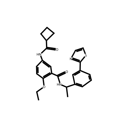 CCOc1ccc(NC(=O)C2CCC2)cc1C(=O)NC(C)c1cccc(-c2nccs2)c1